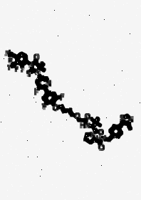 Cc1ncsc1-c1ccc(CNC(=O)C2CCCN2C(=O)C(NC(=O)COCCCCOc2c(F)cc(-c3ncc(N4C(=S)N(c5ccc(C#N)c(C(F)(F)F)c5F)C(=O)C4(C)C)cc3F)cc2F)C(C)(C)C)cc1